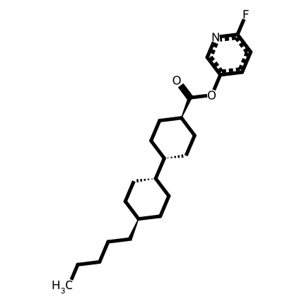 CCCCC[C@H]1CC[C@H]([C@H]2CC[C@H](C(=O)Oc3ccc(F)nc3)CC2)CC1